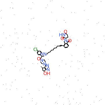 C[C@@H]1C[C@@H](O)c2ncnc(N3CCN(C(=O)C(CNCCCCCCCCC#Cc4cccc5c4CN(C4CCC(=O)NC4=O)C5=O)c4ccc(Cl)cc4)CC3)c21